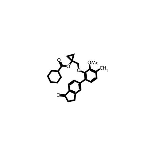 COc1c(C)ccc(-c2ccc3c(c2)CCC3=O)c1OCC1(OC(=O)C2CCCCC2)CC1